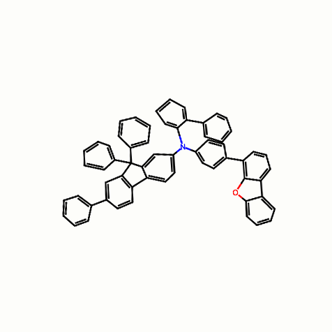 c1ccc(-c2ccc3c(c2)C(c2ccccc2)(c2ccccc2)c2cc(N(c4ccc(-c5cccc6c5oc5ccccc56)cc4)c4ccccc4-c4ccccc4)ccc2-3)cc1